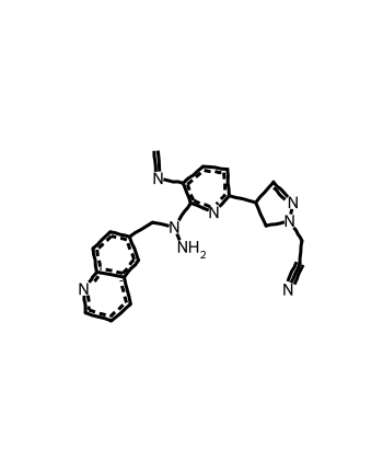 C=Nc1ccc(C2C=NN(CC#N)C2)nc1N(N)Cc1ccc2ncccc2c1